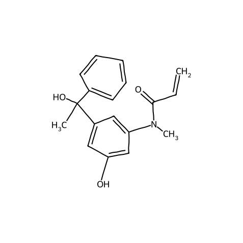 C=CC(=O)N(C)c1cc(O)cc(C(C)(O)c2ccccc2)c1